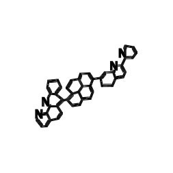 C1=CC2=C(c3c4ccccc4nc4c3ccc3cccnc34)C=CC3=CC=C4C(c5ccc6ccc(-c7ccccn7)nc6c5)=CC=C1C4C32